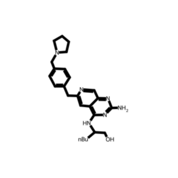 CCCCC(CO)Nc1nc(N)nc2cnc(Cc3ccc(CN4CCCC4)cc3)cc12